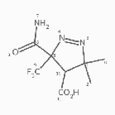 CC1(C)N=NC(C(N)=O)(C(F)(F)F)C1C(=O)O